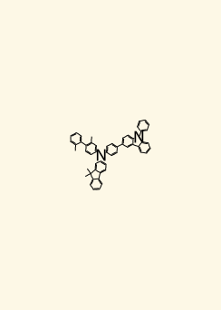 Cc1ccccc1-c1ccc(N(c2ccc(-c3ccc4c(c3)c3ccccc3n4-c3ccccc3)cc2)c2ccc3c(c2)C(C)(C)c2ccccc2-3)cc1C